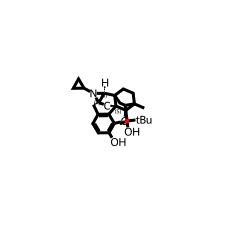 CC12CCC3(CC1C(C)(O)C(C)(C)C)[C@@H]1N(C4CC4)[C@@]14Cc1ccc(O)c5c1[C@@]3(C4)C2O5